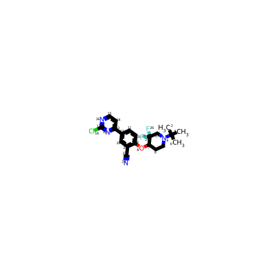 CC(C)(C)N1CCC(Oc2ccc(-c3ccnc(Cl)n3)cc2C#N)C(F)(F)C1